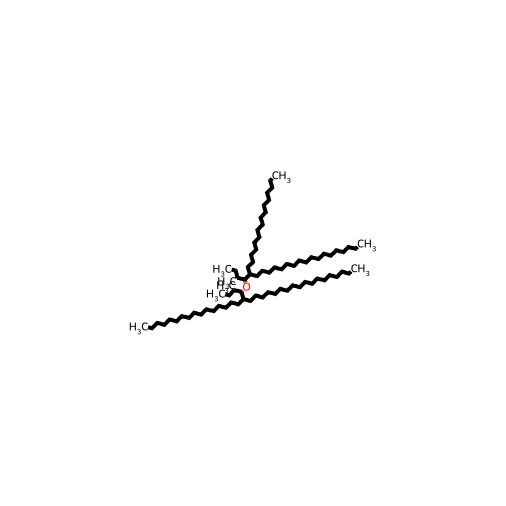 CCCCCCCCCCCCCCCCCCC(CCCCCCCCCCCCCCCC)C(OC(C(C)CC)C(CCCCCCCCCCCCCCCC)CCCCCCCCCCCCCCCCCC)C(C)CC